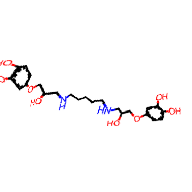 Oc1ccc(OCC(O)CNCCCCCNCC(O)COc2ccc(O)c(O)c2)cc1O